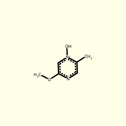 COc1c[n+](O)c(C)cn1